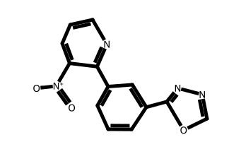 O=[N+]([O-])c1cccnc1-c1cccc(-c2nnco2)c1